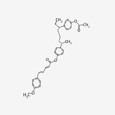 CCC(CCCC(C)c1ccc(OC(=O)/C=C/C=C/c2ccc(OC)cc2)cc1)c1ccc(OC(C)=O)cc1